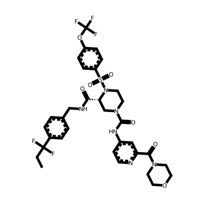 CCC(F)(F)c1ccc(CNC(=O)[C@H]2CN(C(=O)Nc3ccnc(C(=O)N4CCOCC4)c3)CCN2S(=O)(=O)c2ccc(OC(F)(F)F)cc2)cc1